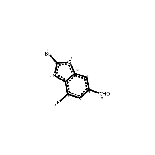 O=Cc1cc(F)c2nc(Br)sc2c1